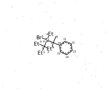 CCC(CC)(CC)[Si](Br)(CC)C(C)(C)c1ccccc1